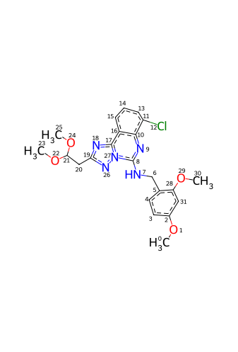 COc1ccc(CNc2nc3c(Cl)cccc3c3nc(CC(OC)OC)nn23)c(OC)c1